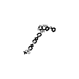 CC(C)(C)OC(=O)N1CCC2(CC1)CC(N1CCC3(CC1)CC(N1CCC(n4nc(-c5ccc(Oc6ccccc6)cc5)c5c(N)ncnc54)CC1)C3)C2